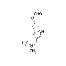 CN(C)Cc1c[nH]c(CCOC=O)c1